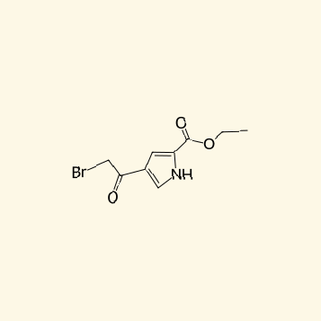 CCOC(=O)c1cc(C(=O)CBr)c[nH]1